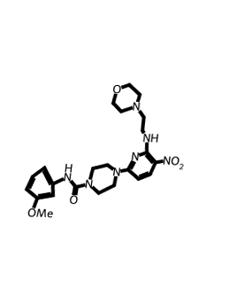 COc1cccc(NC(=O)N2CCN(c3ccc([N+](=O)[O-])c(NCCN4CCOCC4)n3)CC2)c1